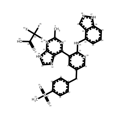 Cc1nc(-c2cc(Cc3ccc(S(C)(=O)=O)cc3)cnc2Nc2cccc3[nH]ncc23)c2nc[nH]c2n1.O=C(O)C(F)(F)F